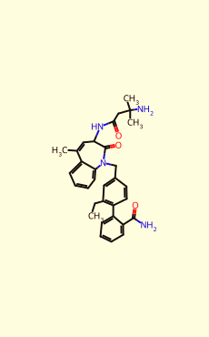 CCc1cc(CN2C(=O)C(NC(=O)CC(C)(C)N)C=C(C)c3ccccc32)ccc1-c1ccccc1C(N)=O